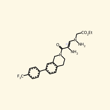 CCOC(=O)CN(N)/C=C(\N)C(=O)N1CCc2ccc(-c3ccc(C(F)(F)F)cc3)cc2C1